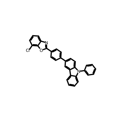 Clc1cccc2nc(-c3ccc(-c4ccc5c(c4)c4ccccc4n5-c4ccccc4)cc3)oc12